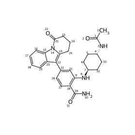 CC(=O)N[C@H]1CC[C@H](Nc2cc(-c3c4n(c5ccccc35)C(=O)CCC4)ccc2C(N)=O)CC1